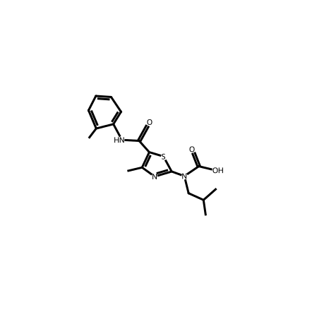 Cc1ccccc1NC(=O)c1sc(N(CC(C)C)C(=O)O)nc1C